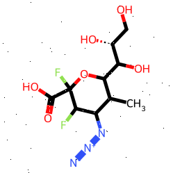 CC1C(N=[N+]=[N-])C(F)C(F)(C(=O)O)OC1C(O)[C@H](O)CO